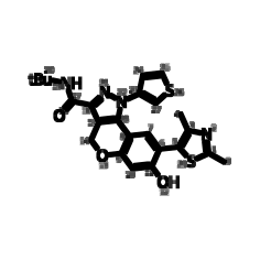 Cc1nc(C)c(-c2cc3c(cc2O)OCc2c(C(=O)NC(C)(C)C)nn(-c4ccsc4)c2-3)s1